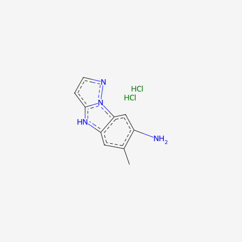 Cc1cc2[nH]c3ccnn3c2cc1N.Cl.Cl